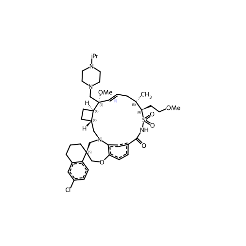 COCC[C@@H]1[C@@H](C)C/C=C/[C@@](CN2CCN(C(C)C)CC2)(OC)[C@@H]2CC[C@H]2CN2C[C@@]3(CCCc4cc(Cl)ccc43)COc3ccc(cc32)C(=O)NS1(=O)=O